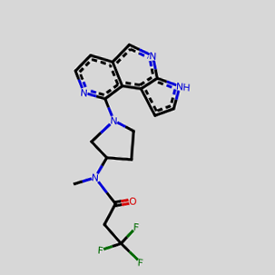 CN(C(=O)CC(F)(F)F)C1CCN(c2nccc3cnc4[nH]ccc4c23)C1